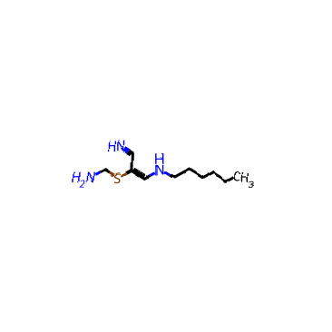 CCCCCCN/C=C(\C=N)SCN